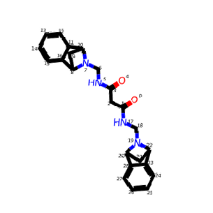 O=C(CC(=O)NCN1C2CC1C1C=CC=CC12)NCN1C2CC1c1ccccc12